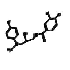 CN(CC(O)CNC(=O)c1ccc(Cl)c(Cl)c1)c1ccc(Cl)cc1